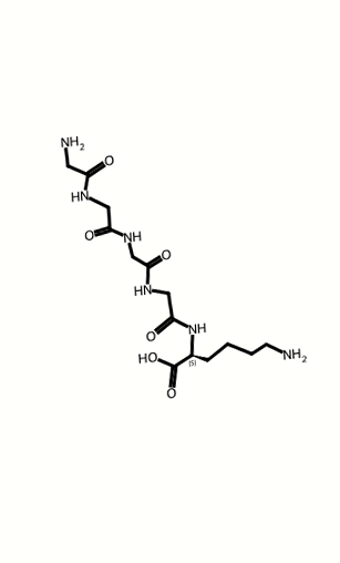 NCCCC[C@H](NC(=O)CNC(=O)CNC(=O)CNC(=O)CN)C(=O)O